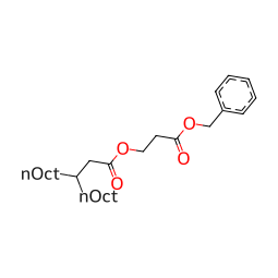 CCCCCCCCC(CCCCCCCC)CC(=O)OCCC(=O)OCc1ccccc1